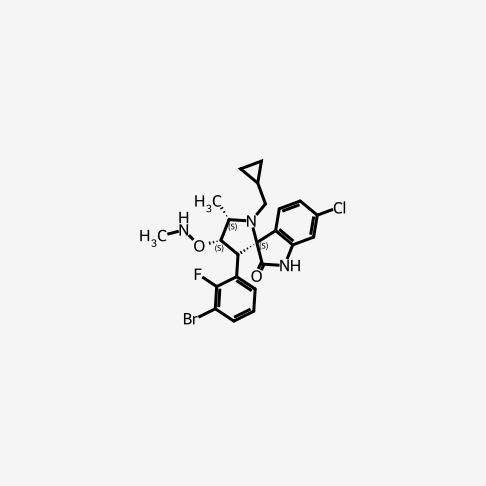 CNO[C@H]1C(c2cccc(Br)c2F)[C@]2(C(=O)Nc3cc(Cl)ccc32)N(CC2CC2)[C@H]1C